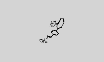 O=CC=Cc1ccc(-c2ccccc2O)cc1